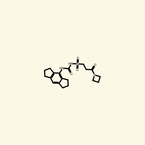 O=C(Nc1c2c(cc3c1CCC3)CCC2)NS(=O)(=O)CCC(=O)N1CCC1